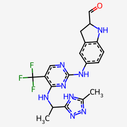 Cc1nnc(C(C)Nc2nc(Nc3ccc4c(c3)CC(C=O)N4)ncc2C(F)(F)F)[nH]1